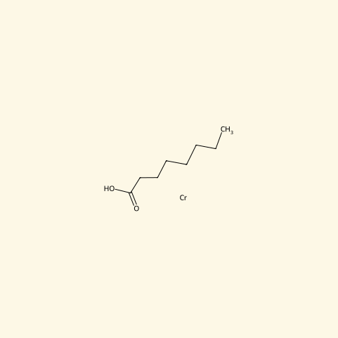 CCCCCCCC(=O)O.[Cr]